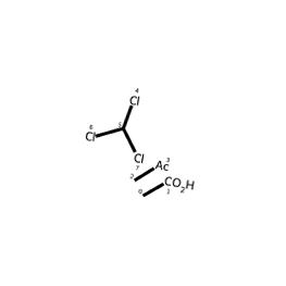 CC(=O)O.CC(C)=O.ClC(Cl)Cl